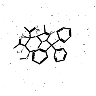 CS[C@@H]1O[C@H](C(O)C(c2ccccc2)(c2ccccc2)c2ccccc2)[C@](O)(C(C)=O)[C@@](O)(C(C)=O)[C@]1(O)C(C)=O